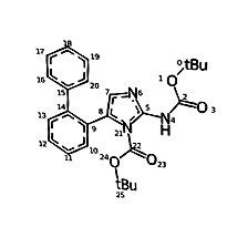 CC(C)(C)OC(=O)Nc1ncc(-c2ccccc2-c2ccccc2)n1C(=O)OC(C)(C)C